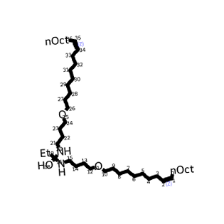 CCCCCCCC/C=C\CCCCCCCCOCCCCNC(O)(CC)NCCCCOCCCCCCCC/C=C\CCCCCCCC